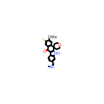 C/N=C\c1ccc2c3c([nH]c2c1)C1(CCOCC1)c1cc(OC)c(F)cc1C3=O